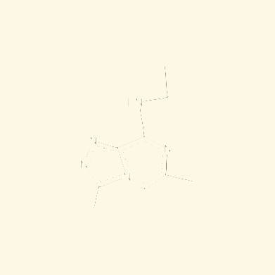 CCNc1nc(C)cn2c(C)nnc12